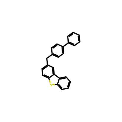 c1ccc(-c2ccc(Cc3ccc4sc5ccccc5c4c3)cc2)cc1